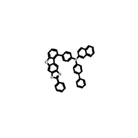 c1ccc(-c2ccc(N(c3ccc(-c4cccc5oc6cc7oc(-c8ccccc8)nc7cc6c45)cc3)c3ccc4ccccc4c3)cc2)cc1